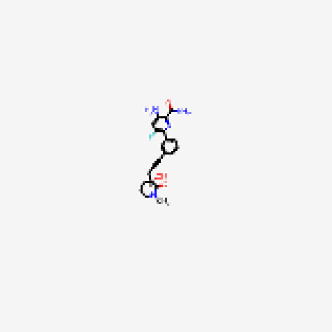 CN1CCC[C@@](O)(CC#Cc2cccc(-c3nc(C(N)=O)c(N)cc3F)c2)C1=O